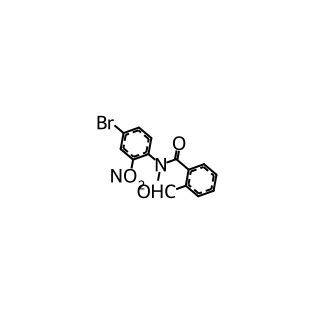 CN(C(=O)c1ccccc1C=O)c1ccc(Br)cc1[N+](=O)[O-]